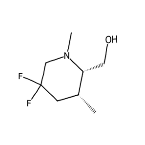 C[C@@H]1CC(F)(F)CN(C)[C@@H]1CO